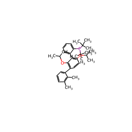 Cc1cccc(-c2ccc(OC(C)C)c(-c3ccccc3P(C(C)(C)C)C(C)(C)C)c2OC(C)C)c1C